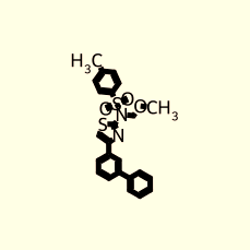 COCN(c1nc(-c2cccc(-c3ccccc3)c2)cs1)S(=O)(=O)c1ccc(C)cc1